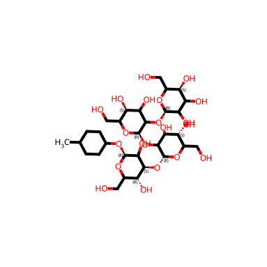 CC1CCC(O[C@@H]2OC(CO)[C@@H](O)[C@H](O[C@H]3OC(CO)[C@@H](O)C(O)C3O[C@H]3OC(CO)[C@@H](O)C(O)C3O[C@H]3OC(CO)[C@@H](O)C(O)C3O)C2O)CC1